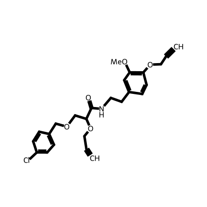 C#CCOc1ccc(CCNC(=O)C(COCc2ccc(Cl)cc2)OCC#C)cc1OC